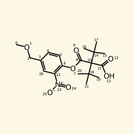 COCc1ccc(OC(=O)C(C(=O)O)(C(C)(C)C)C(C)(C)C)c([N+](=O)[O-])c1